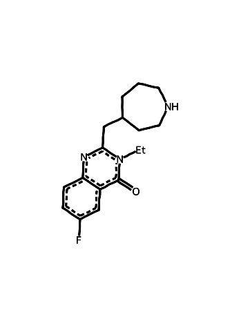 CCn1c(CC2CCCNCC2)nc2ccc(F)cc2c1=O